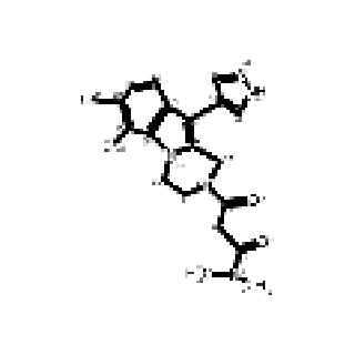 CN(C)C(=O)CC(=O)N1CCn2c(c(-c3cn[nH]c3)c3ccc(Cl)c(Cl)c32)C1